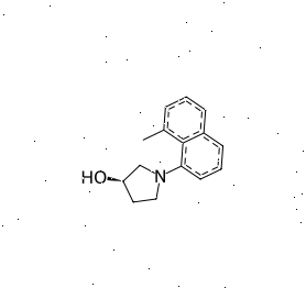 Cc1cccc2cccc(N3CC[C@@H](O)C3)c12